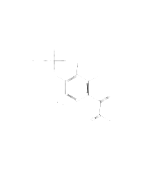 C=C(CC)C(=O)c1ccc(OC(C)(C)C(=O)[O-])c(Cl)c1Cl.[Na+]